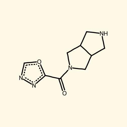 O=C(c1nnco1)N1CC2CNCC2C1